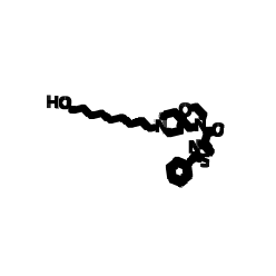 O=C(c1csc(-c2ccccc2)n1)N1CCOC2(CCN(CCCCCCCCCO)CC2)C1